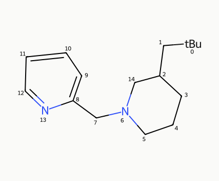 CC(C)(C)CC1CCCN(Cc2ccccn2)C1